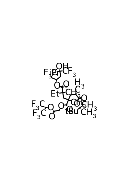 CCC(C)(CC(C)(CC(C)C(=O)OC(C)(C)C(C)(C)C)C(=O)OCC(=O)OC(C(F)(F)F)C(F)(F)F)C(=O)OC(CC(C)C)CC(O)(C(F)(F)F)C(F)(F)F